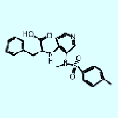 Cc1ccc(S(=O)(=O)N(C)c2cnccc2N[C@@H](Cc2ccccc2)C(=O)O)cc1